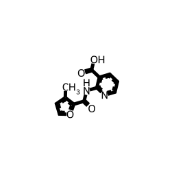 Cc1ccoc1C(=O)Nc1ncccc1C(=O)O